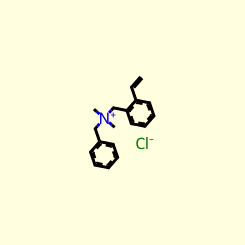 C=Cc1ccccc1C[N+](C)(C)Cc1ccccc1.[Cl-]